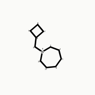 C1CCCN(CC2CCC2)CC1